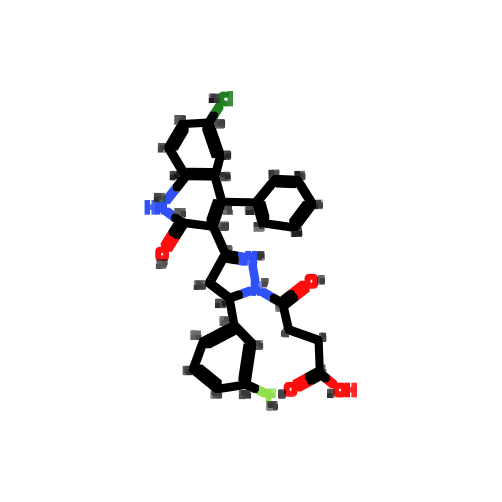 O=C(O)CCC(=O)N1N=C(c2c(-c3ccccc3)c3cc(Cl)ccc3[nH]c2=O)CC1c1cccc(F)c1